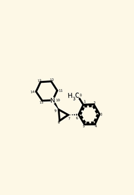 Cc1ccccc1[C@@H]1C[C@H]1N1CCCCC1